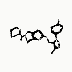 Cc1nnn(-c2ccc(F)cc2)c1COc1ccc2c(n1)CN(C(=O)C1CCCO1)C2